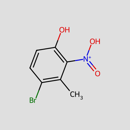 Cc1c(Br)ccc(O)c1[N+](=O)O